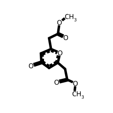 COC(=O)Cc1cc(=O)cc(CC(=O)OC)o1